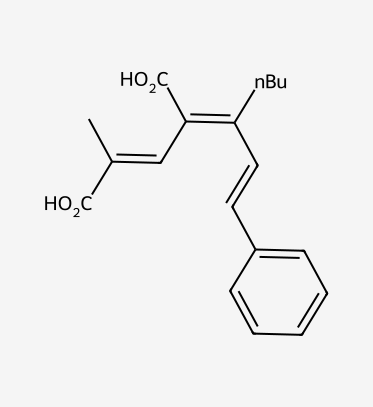 CCCCC(C=Cc1ccccc1)=C(C=C(C)C(=O)O)C(=O)O